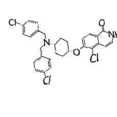 O=c1[nH]ccc2c(Cl)c(O[C@H]3CC[C@@H](N(Cc4ccc(Cl)cc4)Cc4ccc(Cl)cc4)CC3)ccc12